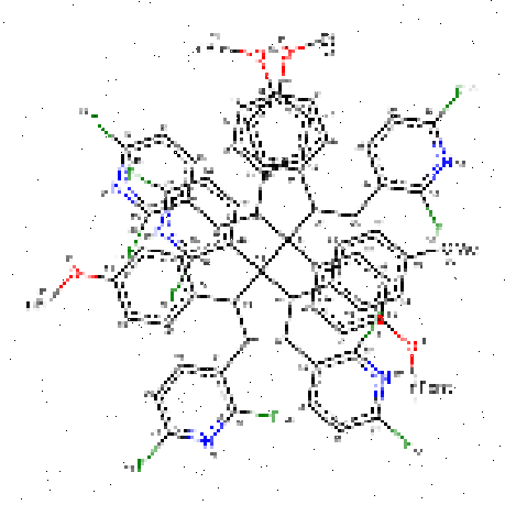 CCCCCOc1ccc(C(C(Cc2ccc(F)nc2F)c2ccc(OCC)cc2)(C(Cc2ccc(F)nc2F)c2ccc(OCCCC)cc2)C(c2ccc(F)nc2F)(C(Cc2ccc(F)nc2F)c2ccc(OC)cc2)C(Cc2ccc(F)nc2F)c2ccc(OCCC)cc2)cc1